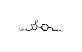 CSC=Cc1ccc(N2CC(CNC(C)=O)OC2=O)cc1